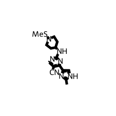 CSN1CCC(Nc2ncc(C#N)c(-c3c[nH]c(C)n3)n2)CC1